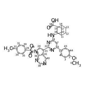 COc1ccc(-c2cc(NC3C4CCC(CC4)C3C(=O)O)nc(-c3cn(S(=O)(=O)c4ccc(C)cc4)c4ncncc34)n2)cc1